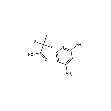 Nc1ccnc(N)c1.O=C(O)C(F)(F)F